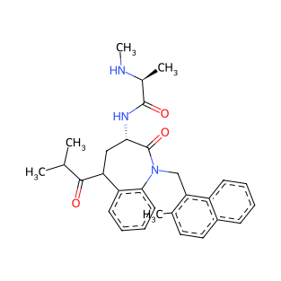 CN[C@@H](C)C(=O)N[C@H]1CC(C(=O)C(C)C)c2ccccc2N(Cc2c(C)ccc3ccccc23)C1=O